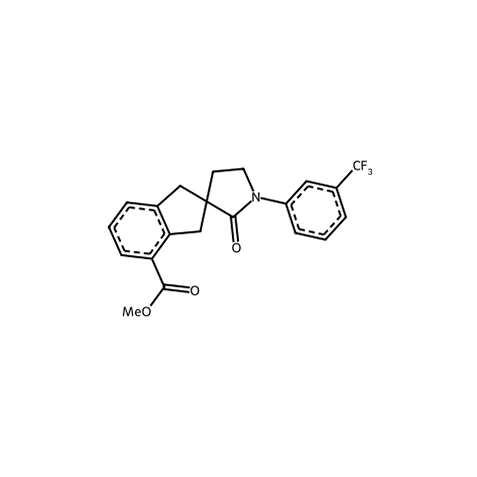 COC(=O)c1cccc2c1CC1(CCN(c3cccc(C(F)(F)F)c3)C1=O)C2